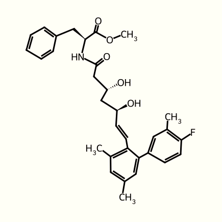 COC(=O)[C@H](Cc1ccccc1)NC(=O)C[C@H](O)C[C@@H](O)C=Cc1c(C)cc(C)cc1-c1ccc(F)c(C)c1